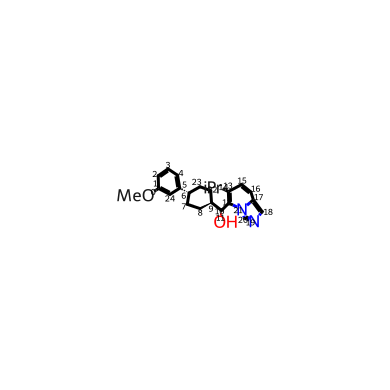 COc1cccc([C@H]2CC[C@H]([C@@H](O)c3c(C(C)C)ccc4cncn34)CC2)c1